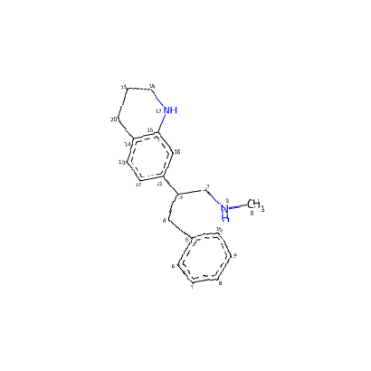 CNCC(Cc1ccccc1)c1ccc2c(c1)NCCC2